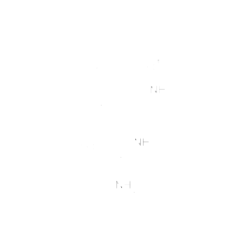 NC(=O)NC1=CC=CON1